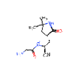 CC1(C)C[C@@H](C[C@@H](C#N)NC(=O)CN)C(=O)N1